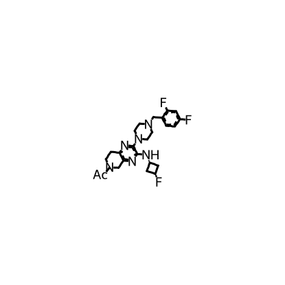 CC(=O)N1CCc2nc(N3CCN(Cc4ccc(F)cc4F)CC3)c(N[C@H]3C[C@H](F)C3)nc2C1